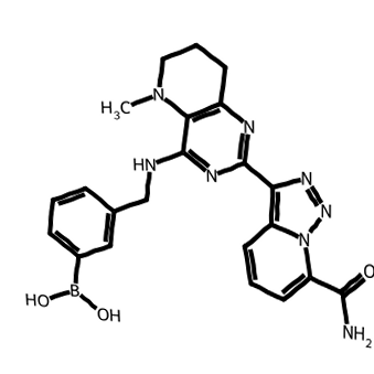 CN1CCCc2nc(-c3nnn4c(C(N)=O)cccc34)nc(NCc3cccc(B(O)O)c3)c21